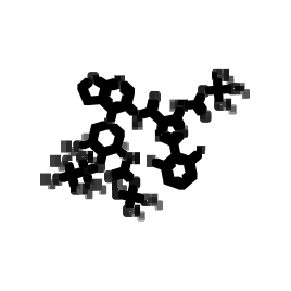 C[C@H]1CN(c2c(NC(=O)c3nc(-c4c(F)cccc4F)sc3NC(=O)OC(C)(C)C)cnc3c2CCO3)C[C@@H](NC(=O)OC(C)(C)C)C1O[Si](C)(C)C(C)(C)C